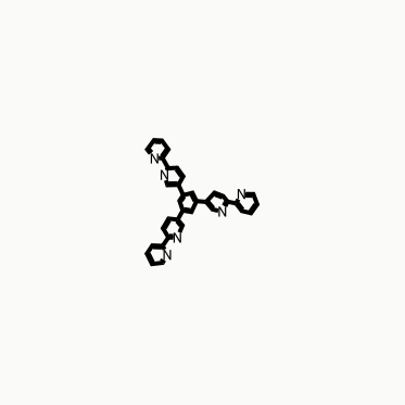 c1ccc(-c2ccc(-c3cc(-c4ccc(-c5ccccn5)nc4)cc(-c4ccc(-c5ccccn5)nc4)c3)cn2)nc1